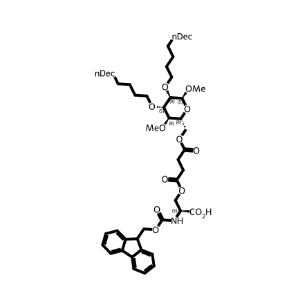 CCCCCCCCCCCCCCO[C@@H]1[C@@H](OCCCCCCCCCCCCCC)[C@@H](OC)O[C@H](COC(=O)CCC(=O)OC[C@H](NC(=O)OCC2c3ccccc3-c3ccccc32)C(=O)O)[C@H]1OC